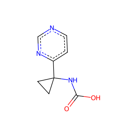 O=C(O)NC1(c2ccncn2)CC1